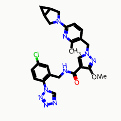 COc1nn(Cc2ccc(N3CC4CC4C3)nc2C)cc1C(=O)NCc1cc(Cl)ccc1-n1cnnn1